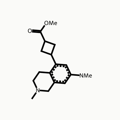 CNc1cc2c(c(C3CC(C(=O)OC)C3)c1)CCN(C)C2